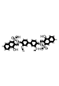 CSc1cc(-c2ccc(/N=N/c3c(S(=O)(=O)O)cc4ccccc4c3O)c(SC)c2)ccc1/N=N/c1c(S(=O)(=O)O)cc2ccccc2c1O